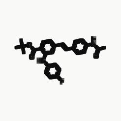 CC(=O)Nc1ccc(C=Cc2ccc(C(=O)OC(C)(C)C)c(Nc3ccc(F)cc3)c2)cc1